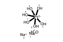 O.[Na+].[Na+].[OH][Pt-2]([OH])([OH])([OH])([OH])[OH]